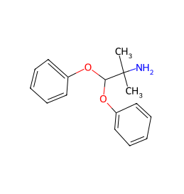 CC(C)(N)C(Oc1ccccc1)Oc1ccccc1